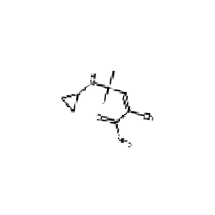 CC(C)(C=C(C#N)C(N)=O)NC1CC1